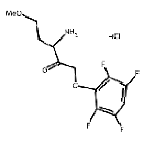 COCCC(N)C(=O)COc1c(F)c(F)cc(F)c1F.Cl